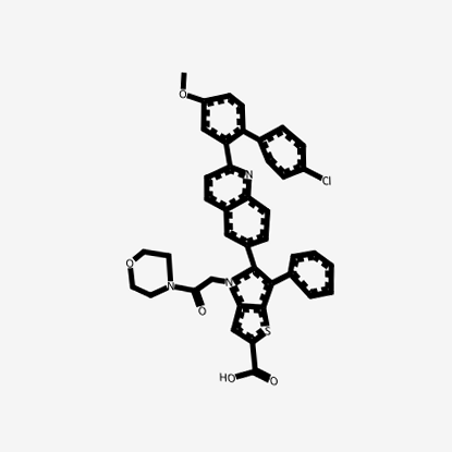 COc1ccc(-c2ccc(Cl)cc2)c(-c2ccc3cc(-c4c(-c5ccccc5)c5sc(C(=O)O)cc5n4CC(=O)N4CCOCC4)ccc3n2)c1